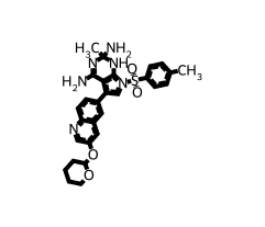 Cc1ccc(S(=O)(=O)n2cc(-c3ccc4ncc(OC5CCCCO5)cc4c3)c3c2NC(C)(N)N=C3N)cc1